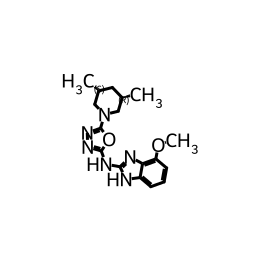 COc1cccc2[nH]c(Nc3nnc(N4C[C@H](C)C[C@H](C)C4)o3)nc12